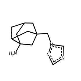 NC12CC3CC1CC(Cn1cncn1)(C3)C2